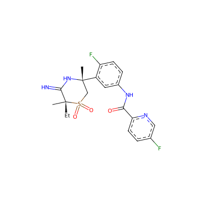 CC[C@@]1(C)C(=N)N[C@](C)(c2cc(NC(=O)c3ccc(F)cn3)ccc2F)CS1(=O)=O